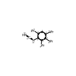 CC(C)c1cc(C(C)C)c(C(C)C)c(C(C)C)c1N=C=N